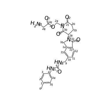 Cc1ccc(NC(=O)NCc2ccc3c(c2)CN(C2CCC(=O)N(COC(=O)CN)C2=O)C3=O)cc1